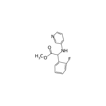 COC(=O)C(Nc1cccnc1)c1ccccc1F